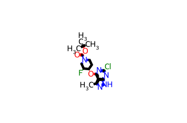 Cc1n[nH]c2nc(Cl)nc(O[C@H]3CCN(C(=O)OC(C)(C)C)C[C@H]3F)c12